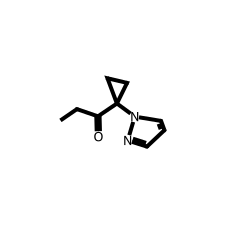 CCC(=O)C1(n2cccn2)CC1